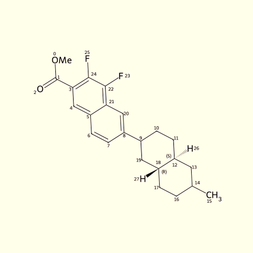 COC(=O)c1cc2ccc(C3CC[C@H]4CC(C)CC[C@@H]4C3)cc2c(F)c1F